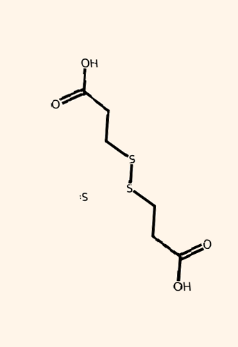 O=C(O)CCSSCCC(=O)O.[S]